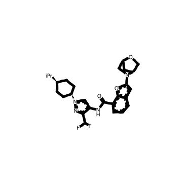 CC(C)[C@H]1CC[C@H](n2cc(NC(=O)c3cccc4cc(N5CC6CC5CO6)oc34)c(C(F)F)n2)CC1